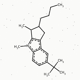 CCCCC1Cc2c(n(C)c3ccc(C(C)(C)C)cc23)C1C